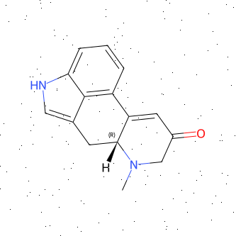 CN1CC(=O)C=C2c3cccc4[nH]cc(c34)C[C@H]21